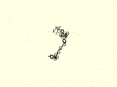 Cc1ccc(S(=O)(=O)OCCOCCOCCOc2ccc(N3C(=S=O)N(c4ccc(C#N)c(C(F)(F)F)c4)C(=O)C3(C)C)cc2)cc1